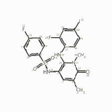 Cc1cc(NS(=O)(=O)c2ccc(F)cc2)c(Nc2ccc(I)cc2F)n(C)c1=O